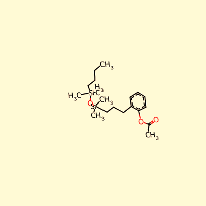 CCCC[Si](C)(C)O[Si](C)(C)CCCc1ccccc1OC(C)=O